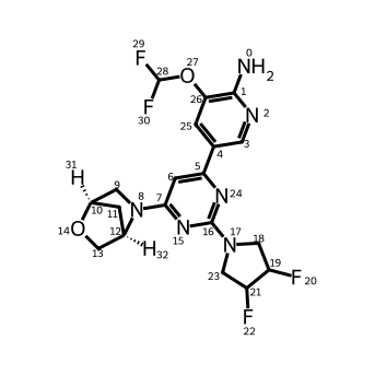 Nc1ncc(-c2cc(N3C[C@H]4C[C@@H]3CO4)nc(N3CC(F)C(F)C3)n2)cc1OC(F)F